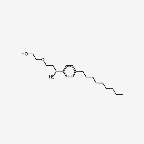 CCCCCCCCCc1ccc(C(S)CCOCCO)cc1